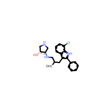 O=CC(CN[C@@H]1CNC[C@H]1O)Cc1c(-c2ccccc2)[nH]c2c(Cl)cccc12